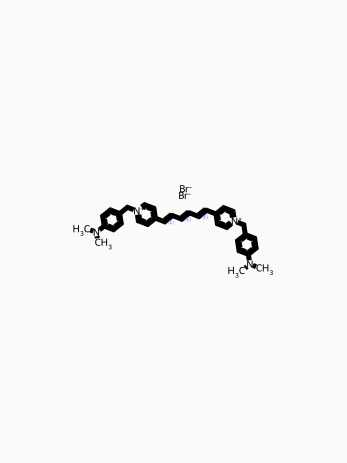 CN(C)c1ccc(C[n+]2ccc(/C=C/C=C/C=C/c3cc[n+](Cc4ccc(N(C)C)cc4)cc3)cc2)cc1.[Br-].[Br-]